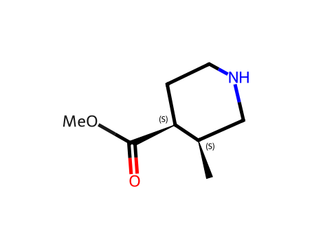 COC(=O)[C@H]1CCNC[C@H]1C